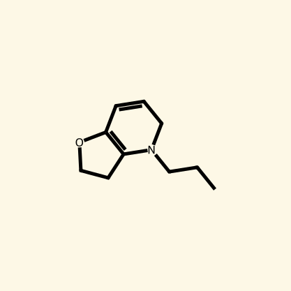 CCCN1CC=CC2=C1CCO2